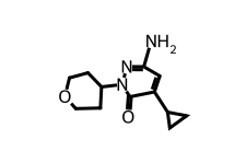 Nc1cc(C2CC2)c(=O)n(C2CCOCC2)n1